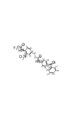 O=C(CCc1ccc(NC(=O)C(F)(F)F)c([N+](=O)[O-])c1)Nc1ccc(C(=O)c2ccccc2)cc1